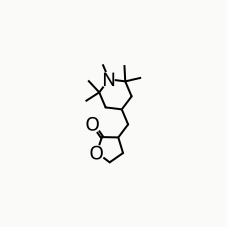 CN1C(C)(C)CC(CC2CCOC2=O)CC1(C)C